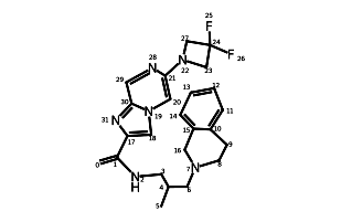 C=C(NCC(C)CN1CCc2ccccc2C1)c1cn2cc(N3CC(F)(F)C3)ncc2n1